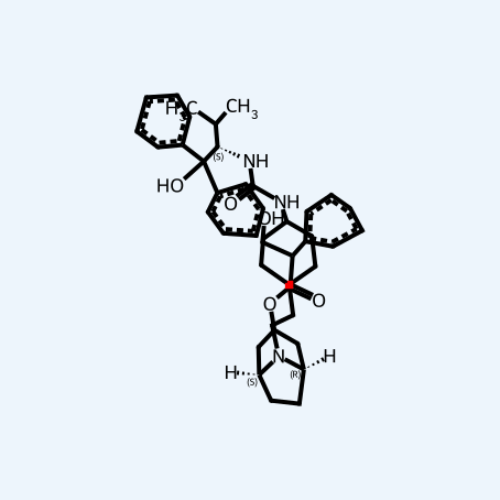 CC(C)[C@H](NC(=O)NC1CCC(CCN2[C@@H]3CC[C@H]2CC(OC(=O)C(CO)c2ccccc2)C3)CC1)C(O)(c1ccccc1)c1ccccc1